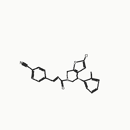 Cc1ccccc1[C@H]1CN(C(=O)/C=C/c2ccc(C#N)cc2)Cc2sc(Cl)cc21